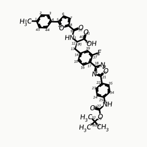 Cc1ccc(-c2ccc(C(=O)N[C@H](Cc3ccc(-c4noc(-c5ccc(NC(=O)OC(C)(C)C)cc5)n4)c(F)c3)C(=O)O)o2)cc1